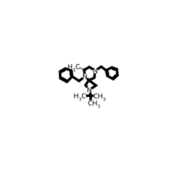 C[C@@H]1CN(Cc2ccccc2)CC2(CN(C(C)(C)C)C2)N1Cc1ccccc1